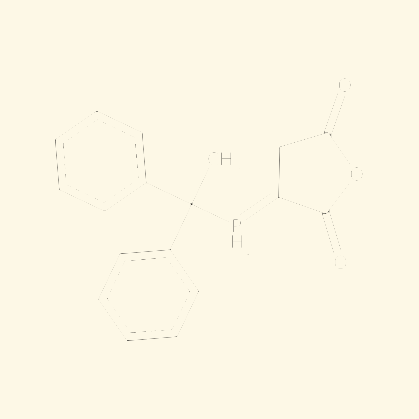 CC([PH2]=C1CC(=O)OC1=O)(c1ccccc1)c1ccccc1